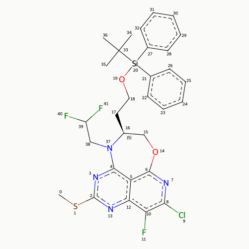 CSc1nc2c3c(nc(Cl)c(F)c3n1)OC[C@H](CCO[Si](c1ccccc1)(c1ccccc1)C(C)(C)C)N2CC(F)F